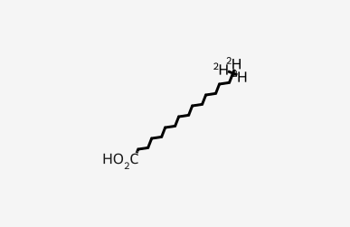 [2H]C([2H])([2H])CCCCCCCCCCCCCCC(=O)O